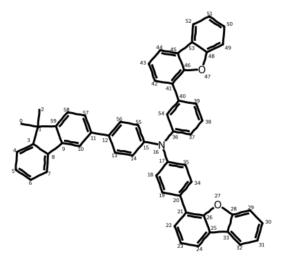 CC1(C)c2ccccc2-c2cc(-c3ccc(N(c4ccc(-c5cccc6c5oc5ccccc56)cc4)c4cccc(-c5cccc6c5oc5ccccc56)c4)cc3)ccc21